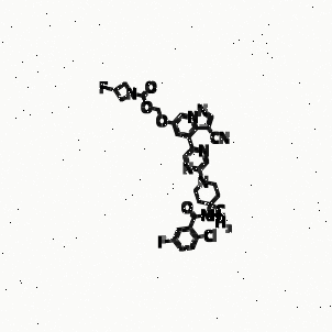 CC1(NC(=O)c2cc(F)ccc2Cl)CCN(c2cnc(-c3cc(OCOC(=O)N4CC(F)C4)cn4ncc(C#N)c34)cn2)CC1